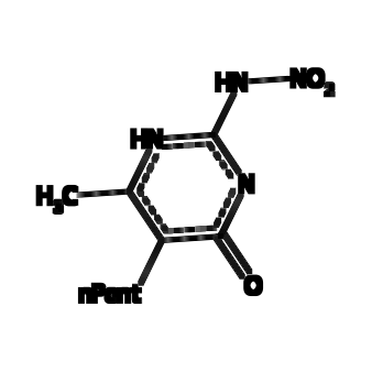 CCCCCc1c(C)[nH]c(N[N+](=O)[O-])nc1=O